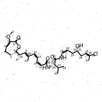 COC1=CCC[C@@H]([C@@H](C)/C=C(C)/C=C\C=C/C(=O)N[C@H](C(=O)N/C=C\C[C@H](O)C/C=C(\C)Cl)C(C)C)OC1=O